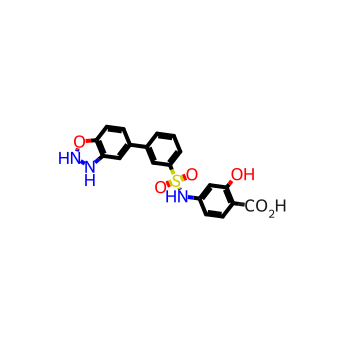 O=C(O)c1ccc(NS(=O)(=O)c2cccc(-c3ccc4c(c3)NNO4)c2)cc1O